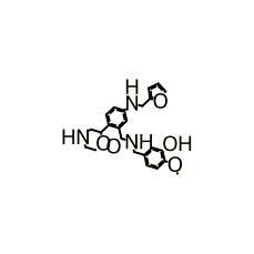 COc1ccc(CNC(=O)c2cc(NCc3ccco3)ccc2C2CNCCO2)cc1O